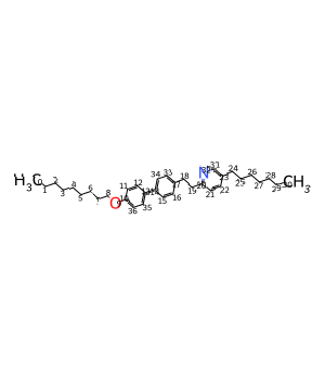 CCCCCCCCCOc1ccc(-c2ccc(CCc3ccc(CCCCCCC)cn3)cc2)cc1